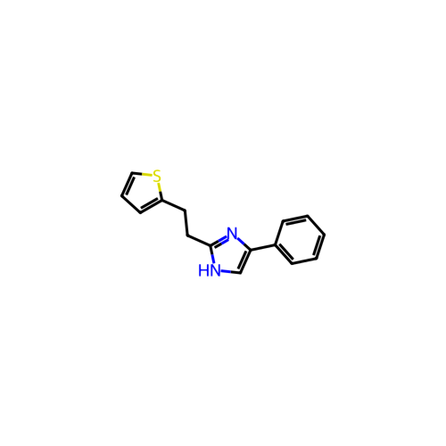 c1ccc(-c2c[nH]c(CCc3cccs3)n2)cc1